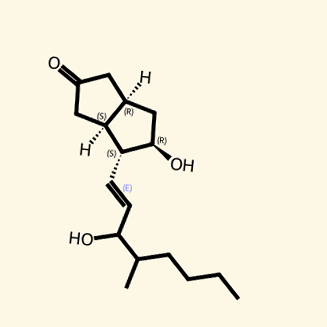 CCCCC(C)C(O)/C=C/[C@@H]1[C@H]2CC(=O)C[C@H]2C[C@H]1O